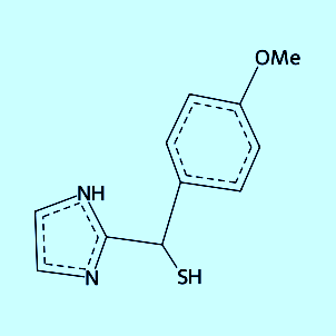 COc1ccc(C(S)c2ncc[nH]2)cc1